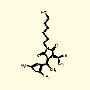 CC(C)=C1C(=O)N(CCCCCCO)C(=O)C1=C(C)c1cc(C)oc1C